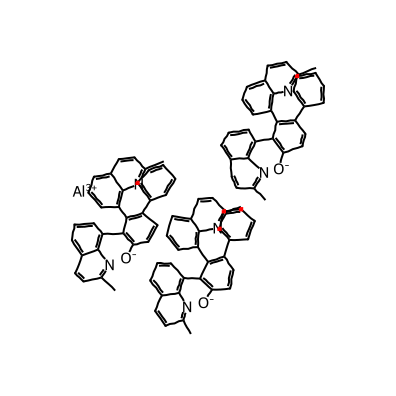 Cc1ccc2cccc(-c3c([O-])ccc(-c4ccccc4)c3-c3cccc4ccc(C)nc34)c2n1.Cc1ccc2cccc(-c3c([O-])ccc(-c4ccccc4)c3-c3cccc4ccc(C)nc34)c2n1.Cc1ccc2cccc(-c3c([O-])ccc(-c4ccccc4)c3-c3cccc4ccc(C)nc34)c2n1.[Al+3]